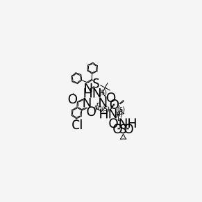 C=C[C@@H]1C[C@]1(NC(=O)[C@@H]1C[C@@H](Oc2ncc(OC)c3ccc(Cl)cc23)CN1C(=O)[C@@H](Nc1nc(-c2ccccc2)c(-c2ccccc2)s1)C(C)(C)C)C(=O)NS(=O)(=O)C1CC1